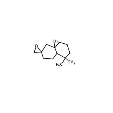 CC1(C)CCCC2(C)CC3(CCC12)CO3